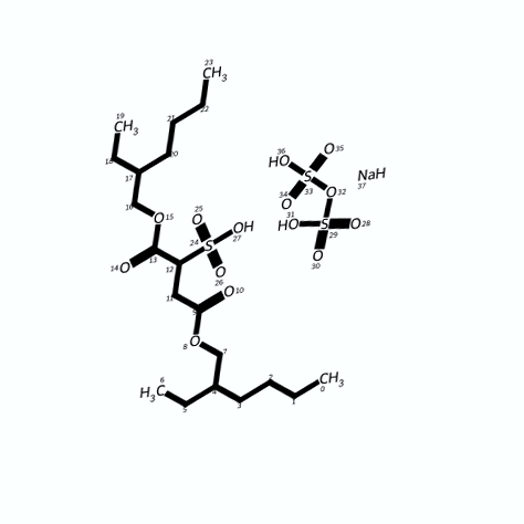 CCCCC(CC)COC(=O)CC(C(=O)OCC(CC)CCCC)S(=O)(=O)O.O=S(=O)(O)OS(=O)(=O)O.[NaH]